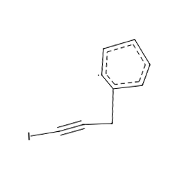 IC#CCc1[c]cccc1